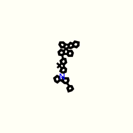 CC1(C)c2cc(-c3cccc4c3-c3ccccc3C43c4ccccc4-c4cc5ccccc5cc43)ccc2-c2ccc(-n3c4ccccc4c4cc(-c5ccccc5)ccc43)cc21